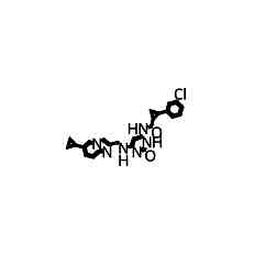 O=C(Nc1cc(NCc2cn3cc(C4CC4)ccc3n2)nc(=O)[nH]1)C1CC1c1cccc(Cl)c1